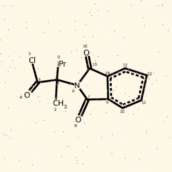 CC(C)C(C)(C(=O)Cl)N1C(=O)c2ccccc2C1=O